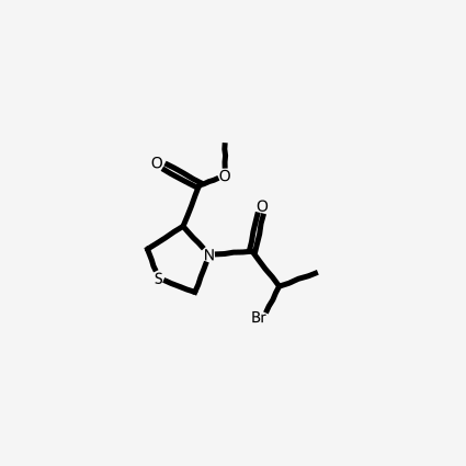 COC(=O)C1CSCN1C(=O)C(C)Br